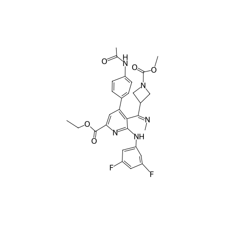 CCOC(=O)c1cc(-c2ccc(NC(C)=O)cc2)c(/C(=N\C)C2CN(C(=O)OC)C2)c(Nc2cc(F)cc(F)c2)n1